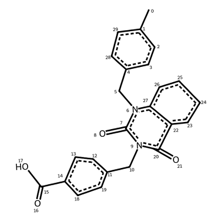 Cc1ccc(Cn2c(=O)n(Cc3ccc(C(=O)O)cc3)c(=O)c3ccccc32)cc1